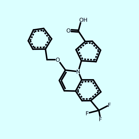 O=C(O)c1cccc(N2C(OCc3ccccc3)=C=Cc3cc(C(F)(F)F)ccc32)c1